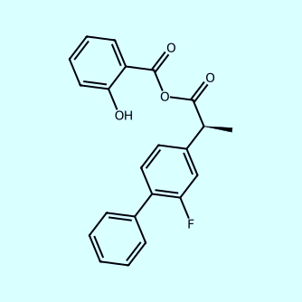 C[C@H](C(=O)OC(=O)c1ccccc1O)c1ccc(-c2ccccc2)c(F)c1